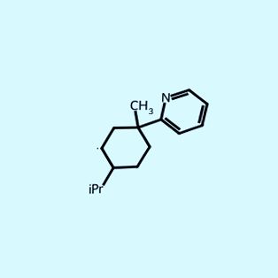 CC(C)C1[CH]CC(C)(c2ccccn2)CC1